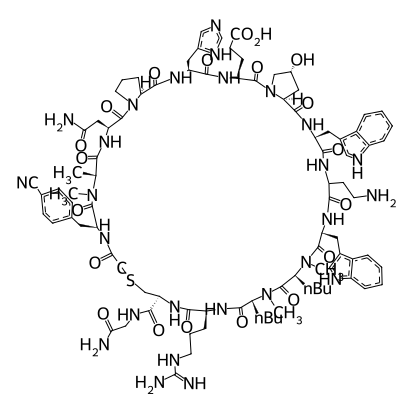 CCCC[C@H]1C(=O)N(C)[C@@H](CCCC)C(=O)N[C@@H](CCCNC(=N)N)C(=O)N[C@H](C(=O)NCC(N)=O)CSCC(=O)N[C@@H](Cc2ccc(C#N)cc2)C(=O)N(C)[C@@H](C)C(=O)N[C@@H](CC(N)=O)C(=O)N2CCC[C@H]2C(=O)N[C@@H](Cc2cnc[nH]2)C(=O)N[C@@H](CCC(=O)O)C(=O)N2C[C@H](O)C[C@H]2C(=O)N[C@@H](Cc2c[nH]c3ccccc23)C(=O)NC(CCN)C(=O)N[C@@H](Cc2c[nH]c3ccccc23)C(=O)N1C